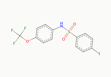 O=S(=O)(Nc1ccc(OC(F)(F)F)cc1)c1ccc(I)cc1